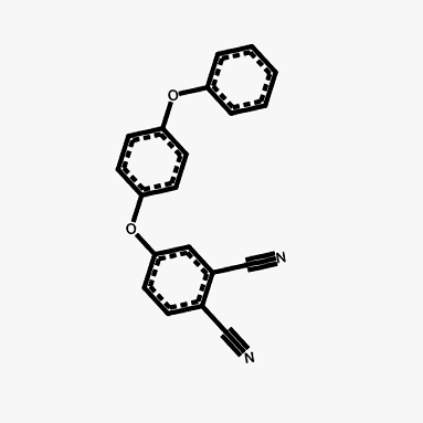 N#Cc1ccc(Oc2ccc(Oc3ccccc3)cc2)cc1C#N